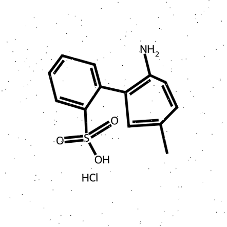 Cc1ccc(N)c(-c2ccccc2S(=O)(=O)O)c1.Cl